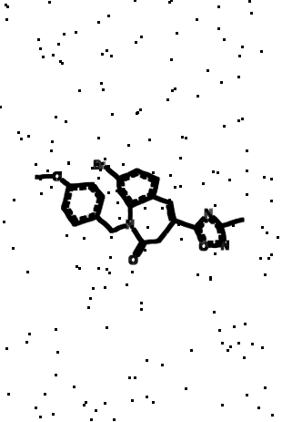 COc1ccc(CN2C(=O)CC(c3nc(C)no3)=Cc3ccc(Br)cc32)cc1